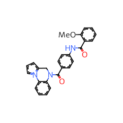 COc1ccccc1C(=O)Nc1ccc(C(=O)N2Cc3cccn3-c3ccccc32)cc1